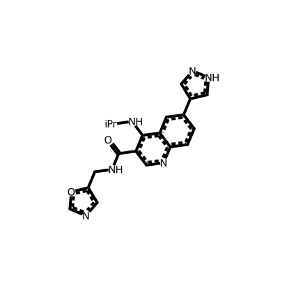 CC(C)Nc1c(C(=O)NCc2cnco2)cnc2ccc(-c3cn[nH]c3)cc12